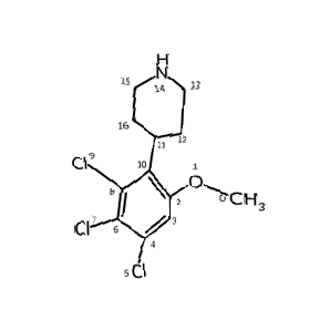 COc1cc(Cl)c(Cl)c(Cl)c1C1CCNCC1